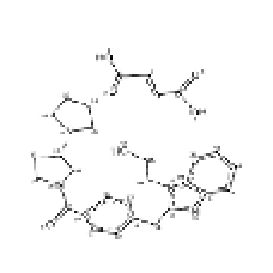 O=C(O)/C=C/C(=O)O.O=C(c1ccc(Cc2nc3ccccc3n2CCO)cc1)N1CC[C@H](N2CCCC2)C1